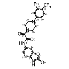 O=C(Nc1cnc2[nH]c(=O)oc2c1)C(=O)N1CCN(c2ccc(C(F)(F)F)c(F)c2)CC1